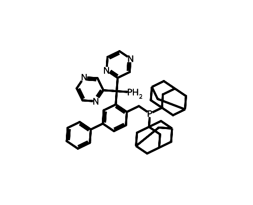 PC(c1cnccn1)(c1cnccn1)c1cc(-c2ccccc2)ccc1CP(C12CC3CC(CC(C3)C1)C2)C12CC3CC(CC(C3)C1)C2